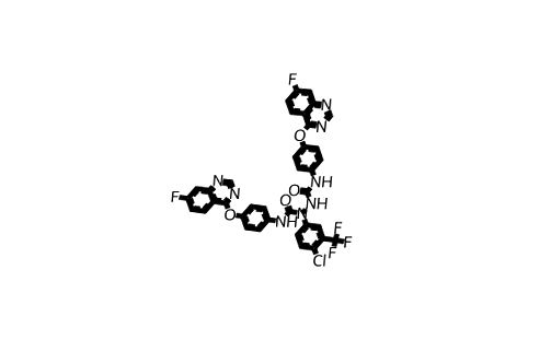 O=C(Nc1ccc(Oc2ncnc3cc(F)ccc23)cc1)NN(C(=O)Nc1ccc(Oc2ncnc3cc(F)ccc23)cc1)c1ccc(Cl)c(C(F)(F)F)c1